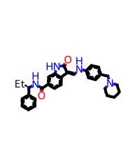 CC[C@@H](NC(=O)c1ccc2c(c1)NC(=O)C2=CNc1ccc(CN2CCCCC2)cc1)c1ccccc1